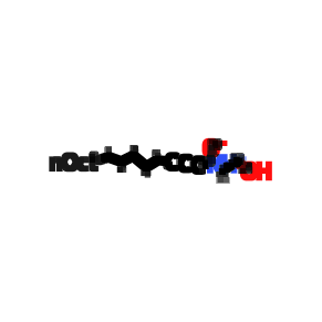 CCCCCCCCCCCCCCCC[NH+]([O-])CCO